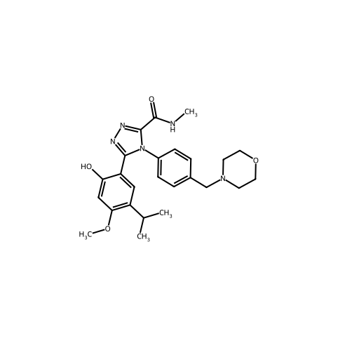 CNC(=O)c1nnc(-c2cc(C(C)C)c(OC)cc2O)n1-c1ccc(CN2CCOCC2)cc1